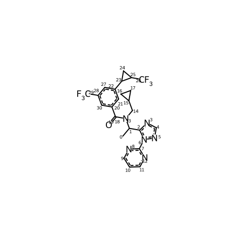 CC(c1ncnn1-c1ncccn1)N(CC1CC1)C(=O)c1cc(C2CC2C(F)(F)F)cc(C(F)(F)F)c1